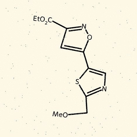 CCOC(=O)c1cc(-c2cnc(COC)s2)on1